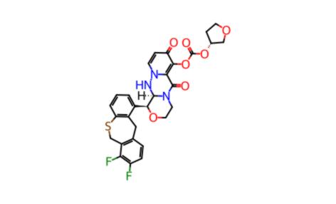 O=C(Oc1c2n(ccc1=O)N[C@@H]1[C@H](c3cccc4c3Cc3ccc(F)c(F)c3CS4)OCCN1C2=O)O[C@@H]1CCOC1